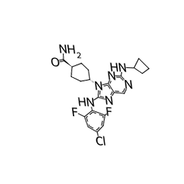 NC(=O)[C@H]1CC[C@H](n2c(Nc3c(F)cc(Cl)cc3F)nc3cnc(NC4CCC4)nc32)CC1